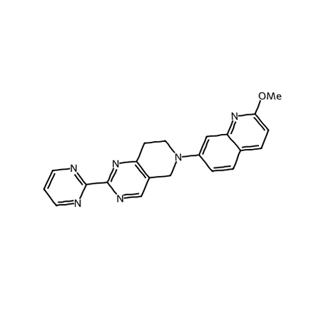 COc1ccc2ccc(N3CCc4nc(-c5ncccn5)ncc4C3)cc2n1